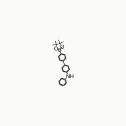 CC1(C)OB(c2ccc(-c3ccc(Nc4ccccc4)cc3)cc2)OC1(C)C